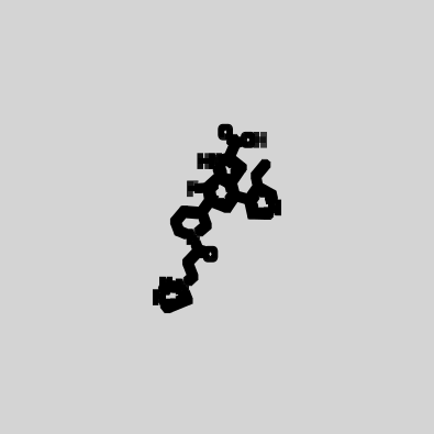 CCc1cnccc1-c1cc(C2=CCCN(C(=O)CCn3ccnn3)C2)c(F)c2[nH]c(C(=O)O)cc12